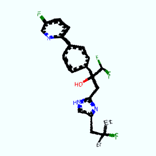 CCC(F)(CC)Cc1c[nH]c(CC(O)(c2ccc(-c3ccc(F)cn3)cc2)C(F)F)n1